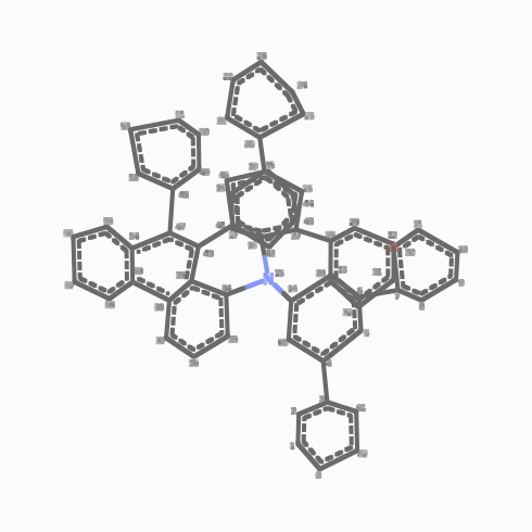 c1ccc(-c2cc(-c3ccccc3)cc(N(c3ccc(-c4ccccc4)cc3-c3ccccc3)c3cccc4c3c(-c3ccccc3)c(-c3ccccc3)c3ccccc34)c2)cc1